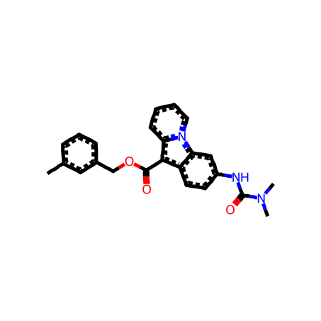 Cc1cccc(COC(=O)c2c3ccc(NC(=O)N(C)C)cc3n3ccccc23)c1